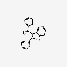 O=C(c1ccccc1)c1c(-c2ccccc2)oc2ccccc12